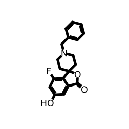 O=C1OC2(CCN(Cc3ccccc3)CC2)c2c(F)cc(O)cc21